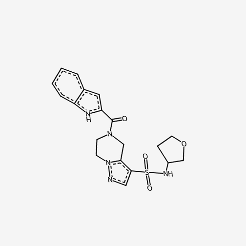 O=C(c1cc2ccccc2[nH]1)N1CCn2ncc(S(=O)(=O)NC3CCOC3)c2C1